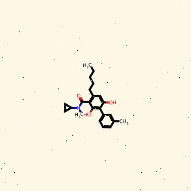 CCCCCc1cc(O)c(-c2cccc(C)c2)c(O)c1C(=O)N(C)C1CC1